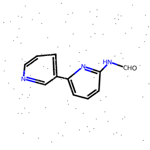 O=CNc1cccc(-c2cccnc2)n1